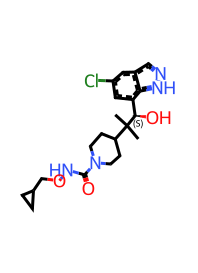 CC(C)(C1CCN(C(=O)NOCC2CC2)CC1)[C@H](O)c1cc(Cl)cc2cn[nH]c12